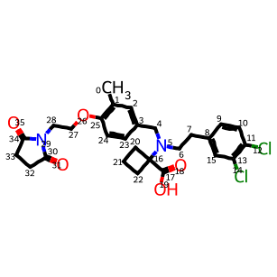 Cc1cc(CN(CCc2ccc(Cl)c(Cl)c2)C2(C(=O)O)CCC2)ccc1OCCN1C(=O)CCC1=O